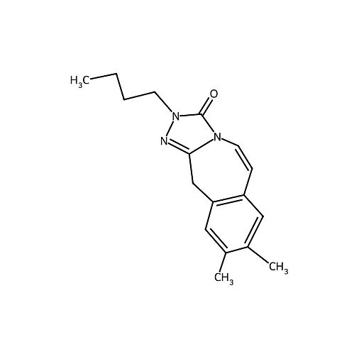 CCCCn1nc2n(c1=O)C=Cc1cc(C)c(C)cc1C2